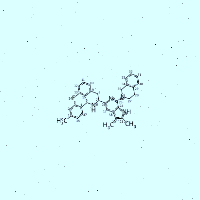 Cc1ccc(CNC(Cc2cccc(F)c2)c2cc3c(C)c(C)[nH]c3c(N3CCc4ccccc4C3)n2)cc1